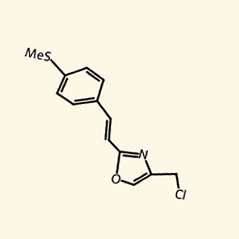 CSc1ccc(C=Cc2nc(CCl)co2)cc1